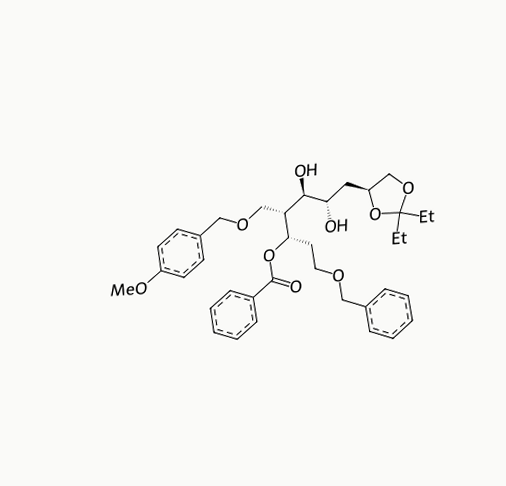 CCC1(CC)OC[C@H](C[C@H](O)[C@H](O)[C@@H](COCc2ccc(OC)cc2)[C@H](CCOCc2ccccc2)OC(=O)c2ccccc2)O1